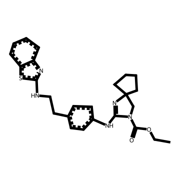 CCOC(=O)N1CC2(CCCC2)N=C1Nc1ccc(CCNc2nc3ccccc3s2)cc1